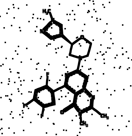 Cc1nc2cc(N3CCO[C@H](c4cnn(C)c4)C3)nc(-c3cc(F)c(F)cc3F)c2c(=O)n1C